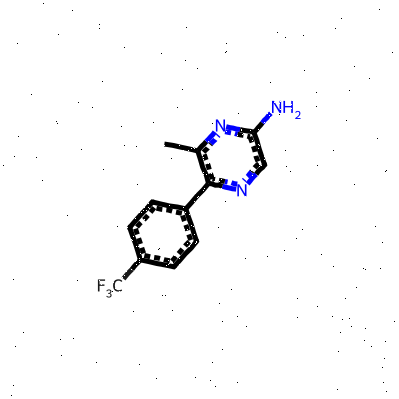 Cc1nc(N)cnc1-c1ccc(C(F)(F)F)cc1